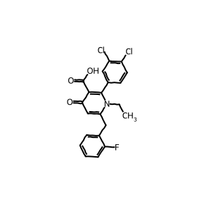 CCn1c(Cc2ccccc2F)cc(=O)c(C(=O)O)c1-c1ccc(Cl)c(Cl)c1